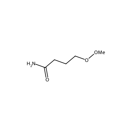 COOCCCC(N)=O